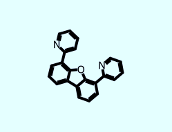 c1ccc(-c2cccc3c2oc2c(-c4ccccn4)cccc23)nc1